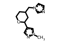 Cn1cc(C2CC(Cn3ccnc3)CCO2)cn1